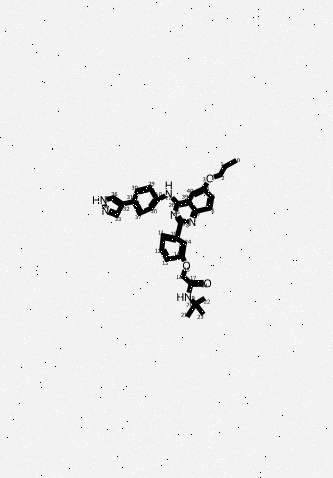 CCCOc1ccc2nc(-c3cccc(OCC(=O)NC(C)(C)C)c3)nc(Nc3ccc(-c4cn[nH]c4)cc3)c2c1